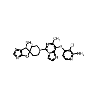 Cc1nc(N2CCC3(CC2)Oc2ncsc2[C@H]3N)n2ccnc2c1Sc1ccnc(N)c1Cl